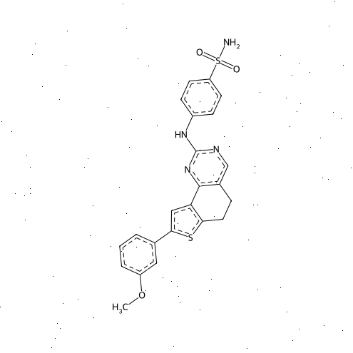 COc1cccc(-c2cc3c(s2)CCc2cnc(Nc4ccc(S(N)(=O)=O)cc4)nc2-3)c1